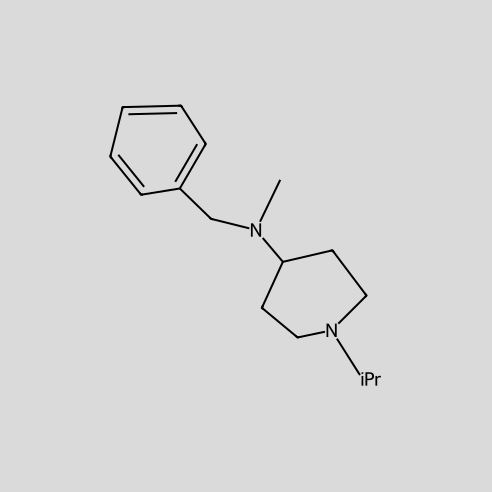 CC(C)N1CCC(N(C)Cc2ccccc2)CC1